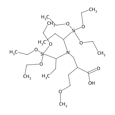 CCO[Si](OCC)(OCC)C(CC)N(CC(CCOC)C(=O)O)C(CC)[Si](OCC)(OCC)OCC